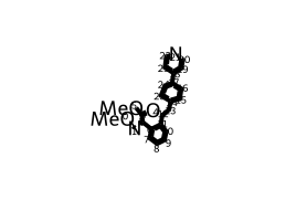 CO/N=C(\C(=O)OC)c1ccccc1CCc1ccc(-c2ccncc2)cc1